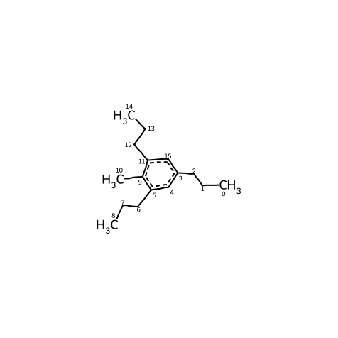 CCCc1cc(CCC)c(C)c(CCC)c1